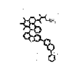 BC/C(C)=C(C)\C(C)=C1/CCc2c(C)c(C)c(C)c3c(-c4cccc5c4-c4ccc(-c6ccc7c(c6)C=C(C6=CCCC=C6)CC7)cc4C5)c4ccccc4c1c23